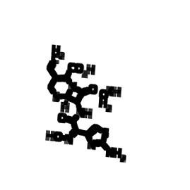 C=CC1=C(C(=O)O)N2C(=O)[C@@H](NC(=O)/C(=N\O)c3csc(N)n3)[C@H]2SC1.O.[KH]